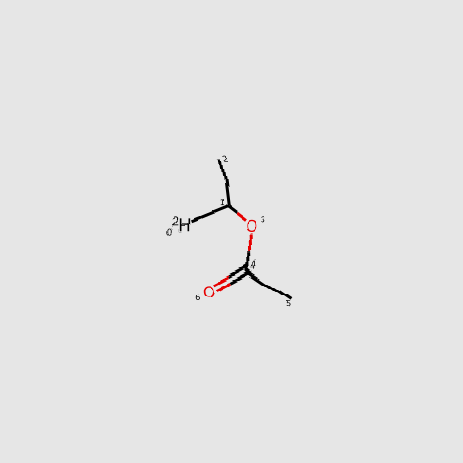 [2H]C(C)OC(C)=O